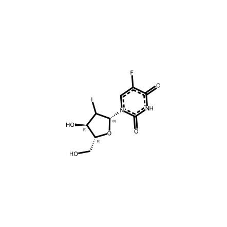 O=c1[nH]c(=O)n([C@@H]2O[C@H](CO)[C@@H](O)C2I)cc1F